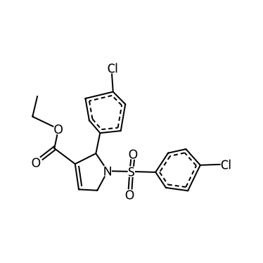 CCOC(=O)C1=CCN(S(=O)(=O)c2ccc(Cl)cc2)C1c1ccc(Cl)cc1